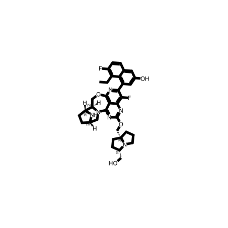 CCc1c(F)ccc2cc(O)cc(-c3nc4c5c(nc(OC[C@]67CCCN6[C@H](CO)CC7)nc5c3F)N3C[C@@H]5CC[C@@H](N5)[C@H]3CO4)c12